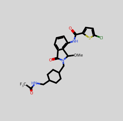 COC1c2c(NC(=O)c3ccc(Cl)s3)cccc2C(=O)N1CC1CCC(CNC(=O)C(F)(F)F)CC1